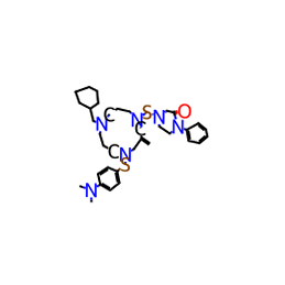 C=C1CN(Sc2ccc(N(C)C)cc2)CCCN(CC2CCCCC2)CCCN(SN2CCN(c3ccccc3)C(=O)C2)C1